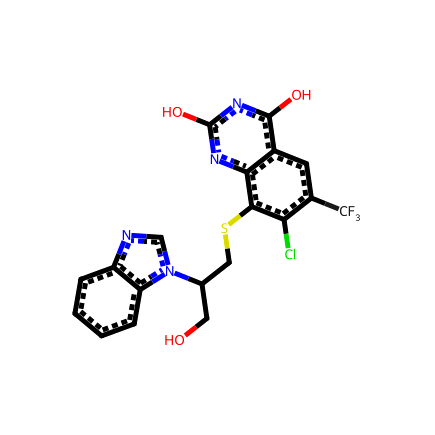 OCC(CSc1c(Cl)c(C(F)(F)F)cc2c(O)nc(O)nc12)n1cnc2ccccc21